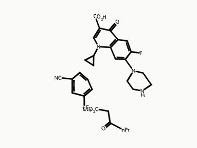 CCCC(=O)CC(=O)OCC.N#Cc1cccc(C(F)(F)F)c1.O=C(O)c1cn(C2CC2)c2cc(N3CCNCC3)c(F)cc2c1=O